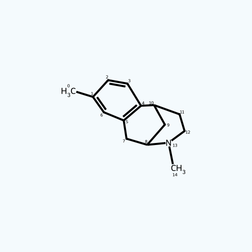 Cc1ccc2c(c1)CC1CC2CCN1C